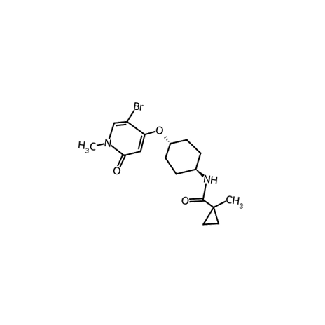 Cn1cc(Br)c(O[C@H]2CC[C@H](NC(=O)C3(C)CC3)CC2)cc1=O